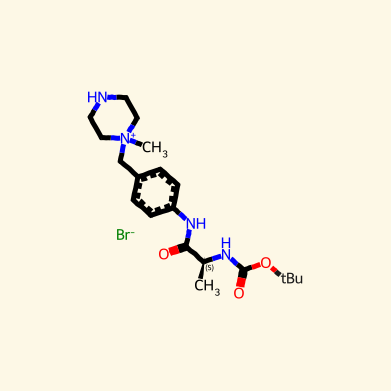 C[C@H](NC(=O)OC(C)(C)C)C(=O)Nc1ccc(C[N+]2(C)CCNCC2)cc1.[Br-]